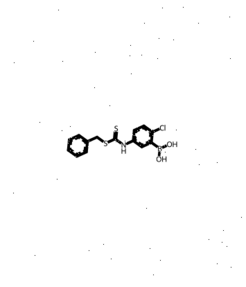 OB(O)c1cc(NC(=S)SCc2ccccc2)ccc1Cl